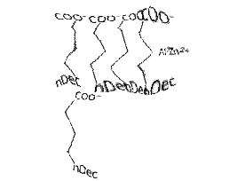 CCCCCCCCCCCCCC(=O)[O-].CCCCCCCCCCCCCC(=O)[O-].CCCCCCCCCCCCCC(=O)[O-].CCCCCCCCCCCCCC(=O)[O-].CCCCCCCCCCCCCC(=O)[O-].[Al+3].[Zn+2]